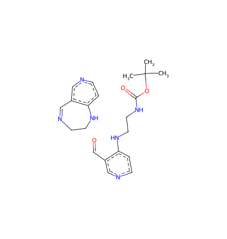 C1=NCCNc2ccncc21.CC(C)(C)OC(=O)NCCNc1ccncc1C=O